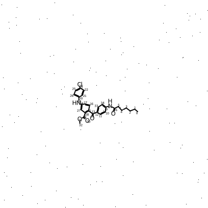 CCCCCCC(=O)Nc1ccc(C(=O)c2ccc(Nc3ccc(Cl)cc3)cc2C(=O)OC)cc1